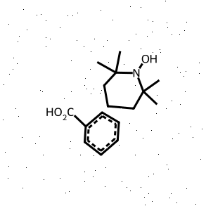 CC1(C)CCCC(C)(C)N1O.O=C(O)c1ccccc1